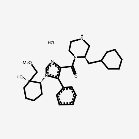 COC[C@]1(O)CCCC[C@H]1n1cnc(C(=O)N2CCNC[C@H]2CC2CCCCC2)c1-c1ccccc1.Cl